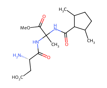 COC(=O)C(C)(NC(=O)C1C(C)CCC1C)NC(=O)[C@@H](N)CC(=O)O